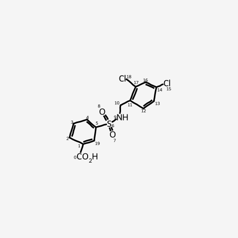 O=C(O)c1cccc(S(=O)(=O)NCc2ccc(Cl)cc2Cl)c1